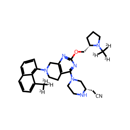 [2H]C([2H])([2H])c1cccc2cccc(N3CCc4c(nc(OC[C@@H]5CCCN5C([2H])([2H])[2H])nc4N4CCN[C@@H](CC#N)C4)C3)c12